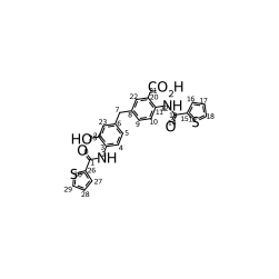 O=C(Nc1ccc(Cc2ccc(NC(=O)c3cccs3)c(C(=O)O)c2)cc1O)c1cccs1